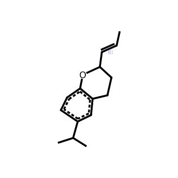 C/C=C/C1CCc2cc(C(C)C)ccc2O1